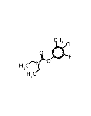 CCN(CC)C(=O)Oc1cc(C)c(Cl)c(F)c1